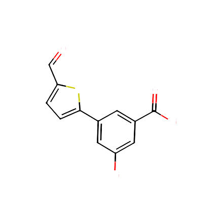 O=Cc1ccc(-c2cc(O)cc(C(=O)O)c2)s1